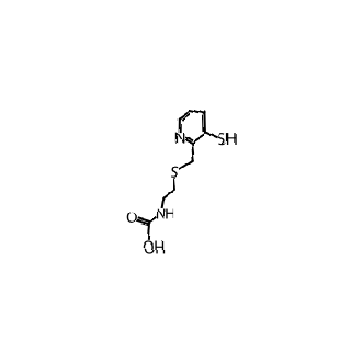 O=C(O)NCCSCc1ncccc1S